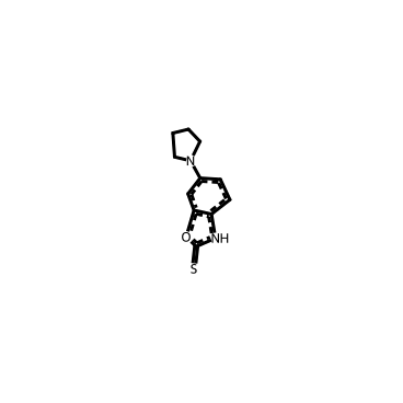 S=c1[nH]c2ccc(N3CCCC3)cc2o1